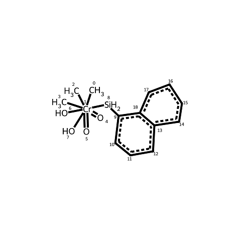 [CH3][Cr]([CH3])([CH3])(=[O])(=[O])([OH])([OH])[SiH2]c1cccc2ccccc12